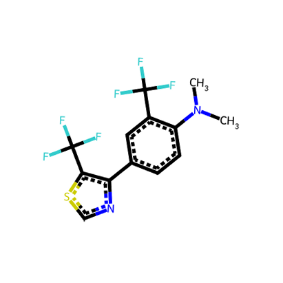 CN(C)c1ccc(-c2n[c]sc2C(F)(F)F)cc1C(F)(F)F